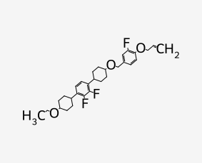 C=CCOc1ccc(COC2CCC(c3ccc(C4CCC(OCC)CC4)c(F)c3F)CC2)cc1F